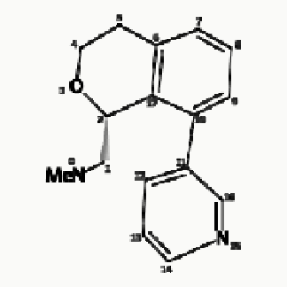 CNC[C@@H]1OCCc2cccc(-c3cccnc3)c21